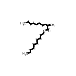 C=C(CCCCCCCC)C(=O)OCCCCCCCCCC